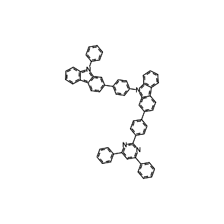 c1ccc(-c2cc(-c3ccccc3)nc(-c3ccc(-c4ccc5c6ccccc6n(-c6ccc(-c7ccc8c9ccccc9n(-c9ccccc9)c8c7)cc6)c5c4)cc3)n2)cc1